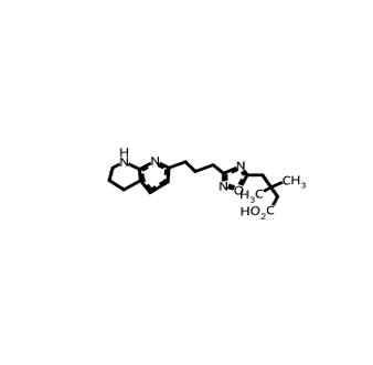 CC(C)(CC(=O)O)Cc1nc(CCCc2ccc3c(n2)NCCC3)no1